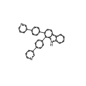 c1cncc(-c2ccc(-c3ccc4c([nH]c5ccccc54)c3-c3ccc(-c4cccnc4)cc3)cc2)c1